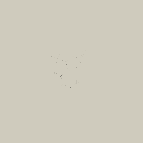 CC(CBr)C(=O)OC(CS(=O)(=O)O)C(F)(F)F